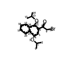 CC(C)Oc1cc(C(=O)CBr)c(OC(C)C)c2ccccc12